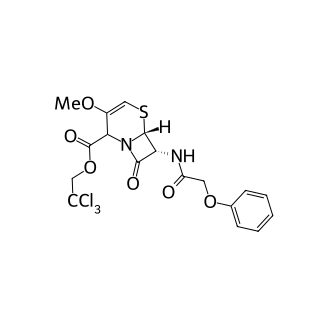 COC1=CS[C@@H]2[C@H](NC(=O)COc3ccccc3)C(=O)N2C1C(=O)OCC(Cl)(Cl)Cl